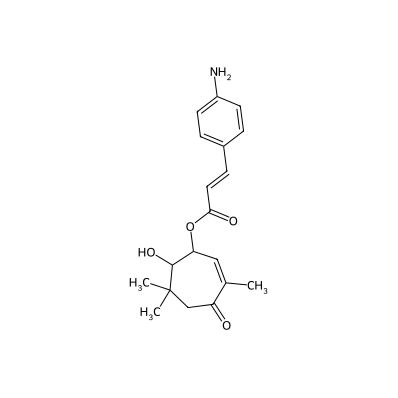 CC1=CC(OC(=O)/C=C/c2ccc(N)cc2)C(O)C(C)(C)CC1=O